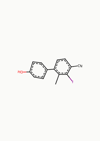 Cc1c(-c2ccc(O)cc2)ccc(C#N)c1I